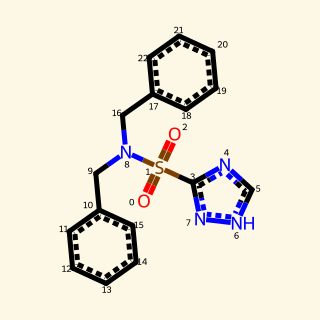 O=S(=O)(c1nc[nH]n1)N(Cc1ccccc1)Cc1ccccc1